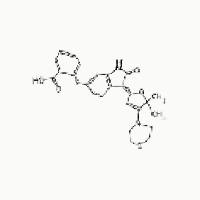 CC1(C)OC(=C2C(=O)Nc3cc(Sc4ccccc4C(=O)O)ccc32)C=C1N1CCOCC1